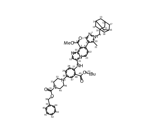 COC(=O)c1c(-c2cnn(CC34CC5CC(CC(C5)C3)C4)c2C)ccn2c(Nc3ccc(N4CCN(C(=O)OCc5ccccc5)CC4)cc3C(=O)OC(C)(C)C)cnc12